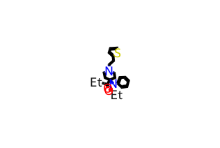 CCC(=O)N(c1ccccc1)C1(C(=O)CC)CCN(CCc2cccs2)CC1